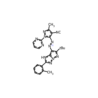 [C-]#[N+]c1c(C)nn(-c2ncccn2)c1/N=N/c1c(C(C)(C)C)nn2nc(-c3ccccc3C)[nH]c12